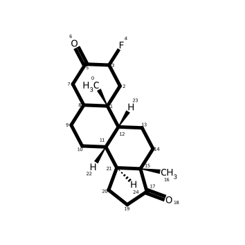 C[C@]12CC(F)C(=O)CC1CC[C@@H]1[C@H]2CC[C@]2(C)C(=O)CC[C@@H]12